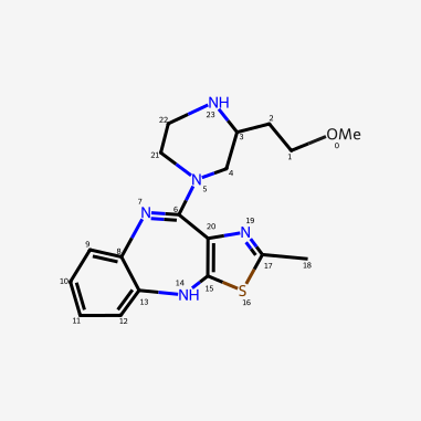 COCCC1CN(C2=Nc3ccccc3Nc3sc(C)nc32)CCN1